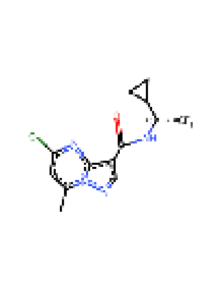 Cc1cc(Cl)nc2c(C(=O)N[C@H](C3CC3)C(F)(F)F)cnn12